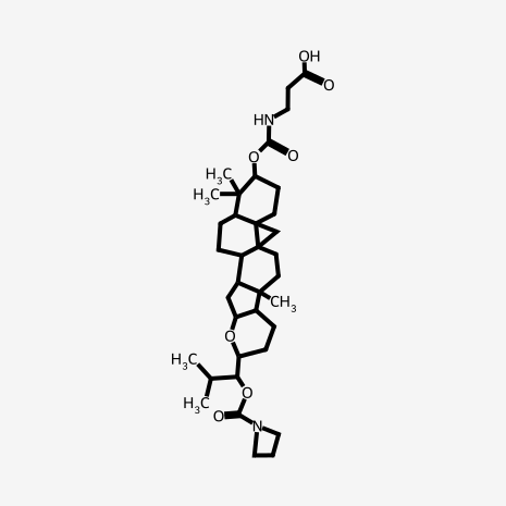 CC(C)C(OC(=O)N1CCC1)C1CCC2C(CC3C4CCC5C(C)(C)C(OC(=O)NCCC(=O)O)CCC56CC46CCC23C)O1